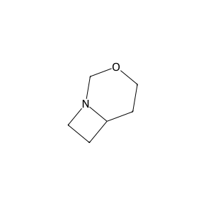 C1CC2CCN2CO1